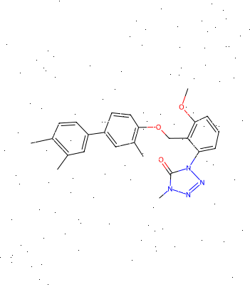 COc1cccc(-n2nnn(C)c2=O)c1COc1ccc(-c2ccc(C)c(C)c2)cc1C